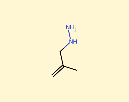 C=C(C)CNN